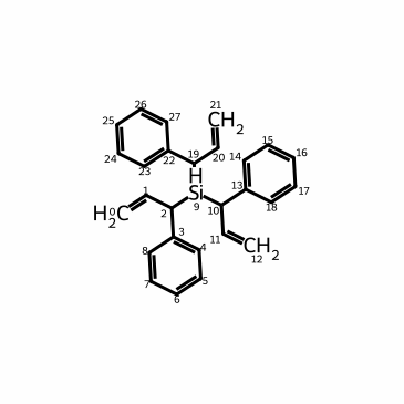 C=CC(c1ccccc1)[SiH](C(C=C)c1ccccc1)C(C=C)c1ccccc1